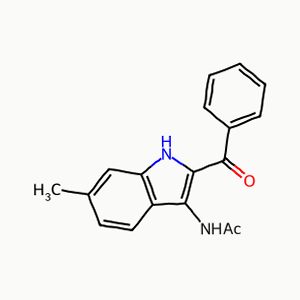 CC(=O)Nc1c(C(=O)c2ccccc2)[nH]c2cc(C)ccc12